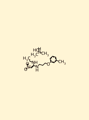 CCNC(=C[N+](=O)[O-])NCCCOc1cccc(C)c1.CNC.Cl